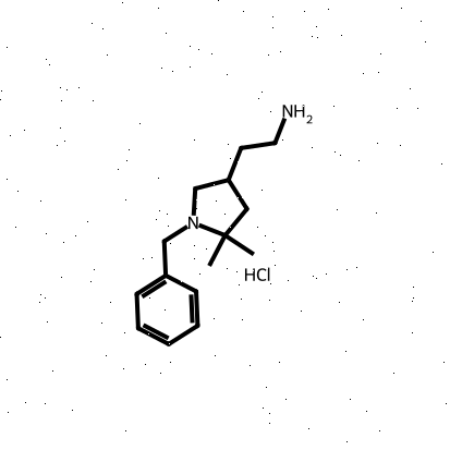 CC1(C)CC(CCN)CN1Cc1ccccc1.Cl